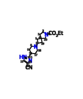 CCOC(=O)N1CCC2(CC(N3CCC(c4nc(C#N)c[nH]4)CC3)C2)C1